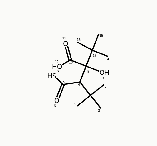 CC(C)(C)C(C(=O)S)C(O)(C(=O)O)C(C)(C)C